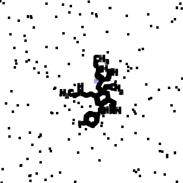 C=CC1(C/C(C=N)=C/NCC)CC(C=N)=C(Nc2ccc(F)cc2)C=C1CCNCC